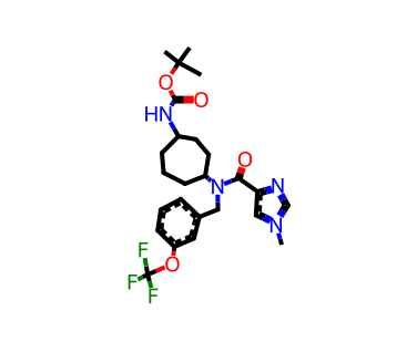 Cn1cnc(C(=O)N(Cc2cccc(OC(F)(F)F)c2)C2CCCC(NC(=O)OC(C)(C)C)CC2)c1